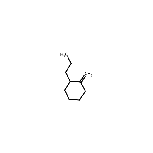 C=C1CCCCC1CCC